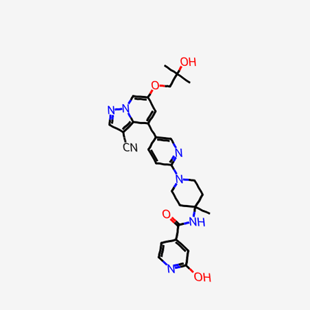 CC(C)(O)COc1cc(-c2ccc(N3CCC(C)(NC(=O)c4ccnc(O)c4)CC3)nc2)c2c(C#N)cnn2c1